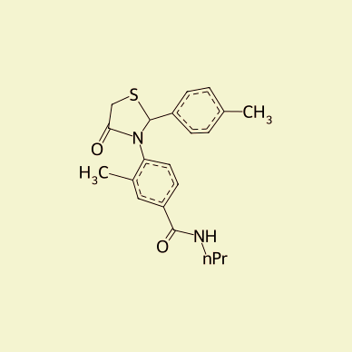 CCCNC(=O)c1ccc(N2C(=O)CSC2c2ccc(C)cc2)c(C)c1